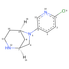 Clc1ccc(N2C[C@@H]3C[C@H]2CCN3)cn1